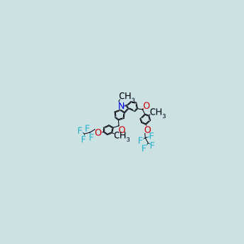 CCn1c2ccc(C(=O)c3ccc(OCC(F)(F)C(F)F)cc3C)cc2c2cc(C(=O)c3ccc(OCC(F)(F)C(F)F)cc3C)ccc21